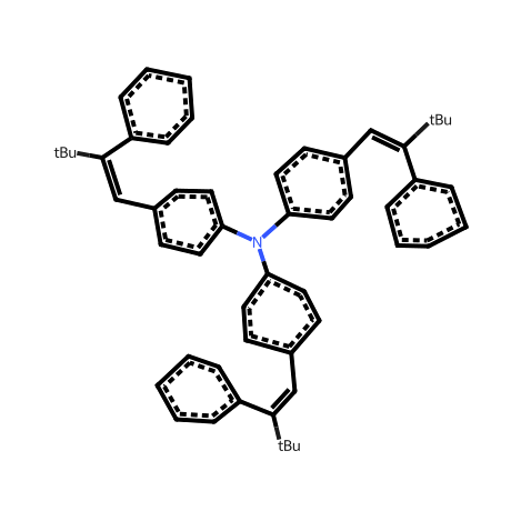 CC(C)(C)C(=Cc1ccc(N(c2ccc(C=C(c3ccccc3)C(C)(C)C)cc2)c2ccc(C=C(c3ccccc3)C(C)(C)C)cc2)cc1)c1ccccc1